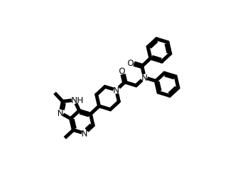 Cc1nc2c(C)ncc(C3CCN(C(=O)CN(C(=O)c4ccccc4)c4ccccc4)CC3)c2[nH]1